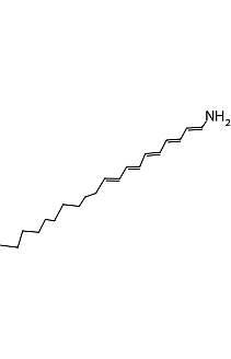 CCCCCCCCCC/C=C/C=C/C=C/C=C/C=C/N